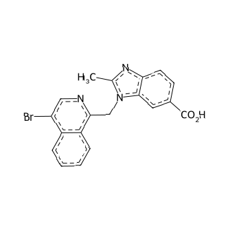 Cc1nc2ccc(C(=O)O)cc2n1Cc1ncc(Br)c2ccccc12